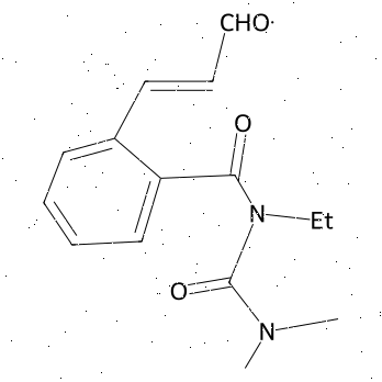 CCN(C(=O)c1ccccc1/C=C/[C]=O)C(=O)N(C)C